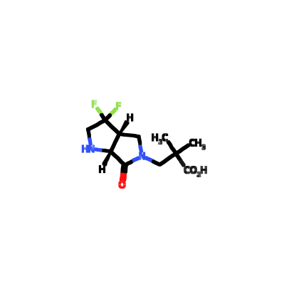 CC(C)(CN1C[C@@H]2[C@@H](NCC2(F)F)C1=O)C(=O)O